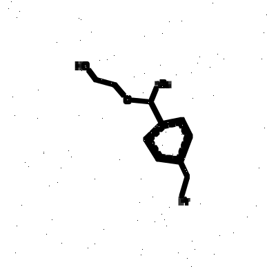 CCCCC(OCCO)c1ccc(CC(C)C)cc1